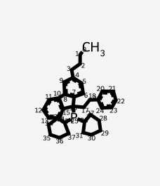 CCCCc1ccc2c(c1)-c1ccccc1C2(CCc1ccccc1)P(C1CCCCC1)C1CCCCC1